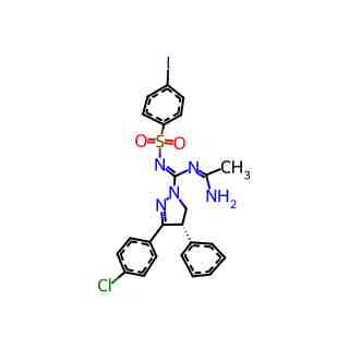 C/C(N)=N/C(=N\S(=O)(=O)c1ccc(I)cc1)N1C[C@H](c2ccccc2)C(c2ccc(Cl)cc2)=N1